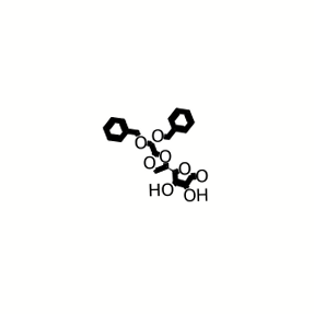 O=C1OC([C@@H]2COC(C(OCc3ccccc3)OCc3ccccc3)O2)C(O)=C1O